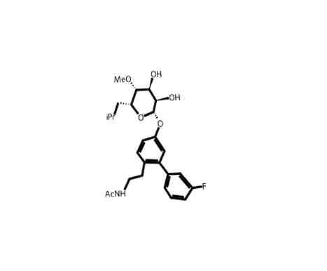 CO[C@@H]1[C@@H](O)[C@@H](O)[C@H](Oc2ccc(CCNC(C)=O)c(-c3cccc(F)c3)c2)O[C@@H]1CC(C)C